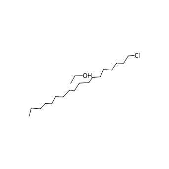 CCCCCCCCCCCCCCCCCCCl.CCO